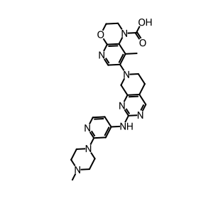 Cc1c(N2CCc3cnc(Nc4ccnc(N5CCN(C)CC5)c4)nc3C2)cnc2c1N(C(=O)O)CCO2